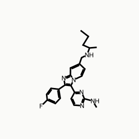 CCCC(C)NCc1ccn2c(-c3ccnc(NC)n3)c(-c3ccc(F)cc3)nc2c1